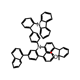 CC12C=CC=CC1c1ccc(N(c3ccc(-c4ccccc4-n4c5ccccc5c5ccccc54)cc3)c3cc(-c4cccc5ccccc45)ccc3-c3ccccc3)cc1O2